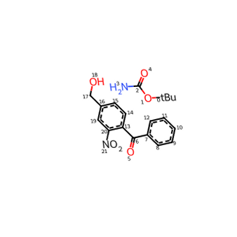 CC(C)(C)OC(N)=O.O=C(c1ccccc1)c1ccc(CO)cc1[N+](=O)[O-]